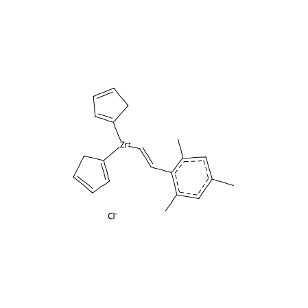 Cc1cc(C)c(/C=[CH]/[Zr+]([C]2=CC=CC2)[C]2=CC=CC2)c(C)c1.[Cl-]